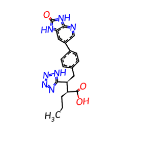 CCC[C@H](C(=O)O)[C@H](Cc1ccc(-c2cnc3[nH]c(=O)[nH]c3c2)cc1)c1nnn[nH]1